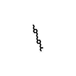 C=C(CC)CCC1CCC(CCCCC2CCC(CCC)CC2)CC1